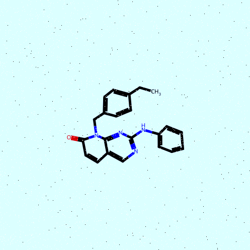 CCc1ccc(Cn2c(=O)ccc3cnc(Nc4ccccc4)nc32)cc1